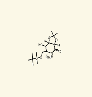 CC1(C)O[C@@H]2[C@H](O1)C(=O)N[C@@](O)(CO[Si](C)(C)C(C)(C)C)[C@H]2O